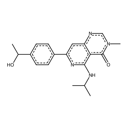 CC(C)Nc1nc(-c2ccc(C(C)O)cc2)cc2ncn(C)c(=O)c12